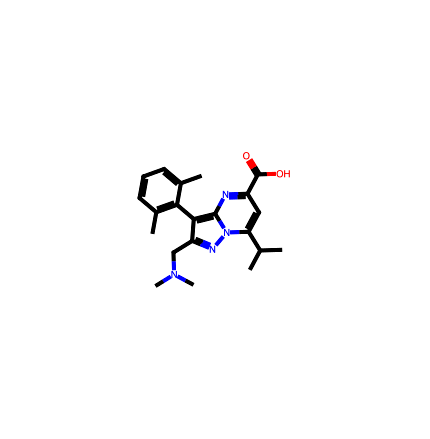 Cc1cccc(C)c1-c1c(CN(C)C)nn2c(C(C)C)cc(C(=O)O)nc12